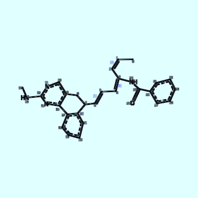 C\C=C/C(=C\C=C\C1Cc2cnc(NC)nc2-c2ccccc21)NC(=O)c1ccccc1